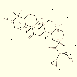 CC1(C)C2CC[C@]3(C)[C@H](C(=O)C=C4[C@@H]5C[C@@](C)(C(=O)N(OC(F)(F)F)C6CC6)CC[C@]5(C)CC[C@]43C)[C@@]2(C)CC[C@@H]1O